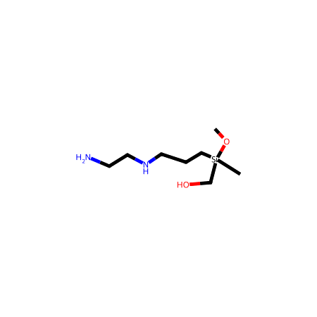 CO[Si](C)(CO)CCCNCCN